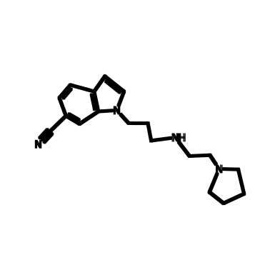 N#Cc1ccc2ccn(CCCNCCN3CCCC3)c2c1